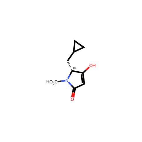 O=C(O)N1C(=O)C=C(O)[C@H]1CC1CC1